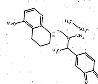 COc1cccc2c1CCC[C@H]2CN(C)C(C)c1ccc2cocc2c1.CS(=O)(=O)O